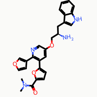 CN(C)C(=O)c1ccc(-c2cc(OC[C@H](N)Cc3c[nH]c4ccccc34)cnc2-c2ccoc2)o1